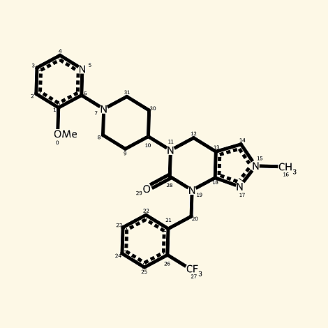 COc1cccnc1N1CCC(N2Cc3cn(C)nc3N(Cc3ccccc3C(F)(F)F)C2=O)CC1